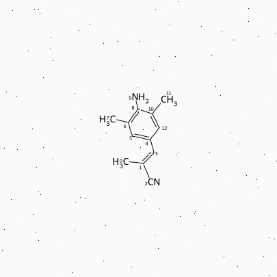 C/C(C#N)=C\c1cc(C)c(N)c(C)c1